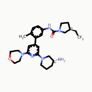 Cc1ccc(NC(=O)N2CC[C@@H](CC(F)(F)F)C2)cc1-c1cc(N2CCOCC2)nc(N2CCC[C@@H](N)C2)c1